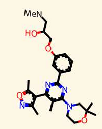 CNCC(O)COc1cccc(-c2nc(-c3c(C)noc3C)c(C)c(N3CCOC(C)(C)C3)n2)c1